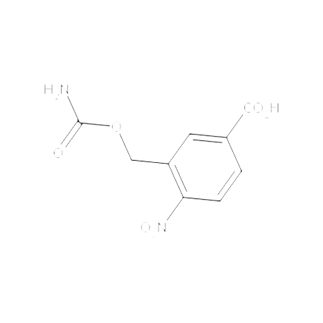 NC(=O)OCc1cc(C(=O)O)ccc1[N+](=O)[O-]